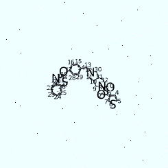 O=S(=O)(c1ccsc1)N1CC2CN(Cc3ccc(Oc4nc5ccccc5s4)cc3)CC2C1